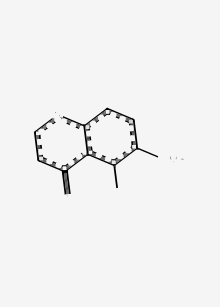 COc1ccc2[nH]ccc(=O)c2c1F